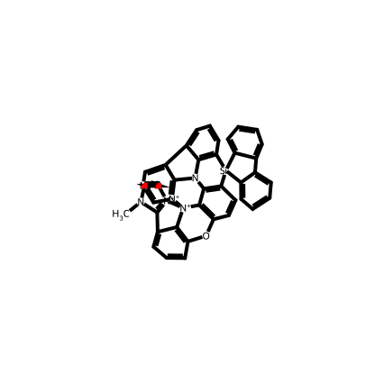 Cn1c2[n+](c3ccccc31)[N+]13c4c(cccc4-2)Oc2ccc4c(c21)-n1c2c(cccc2c2cnc[n+]3c21)[Si]41c2ccccc2-c2ccccc21